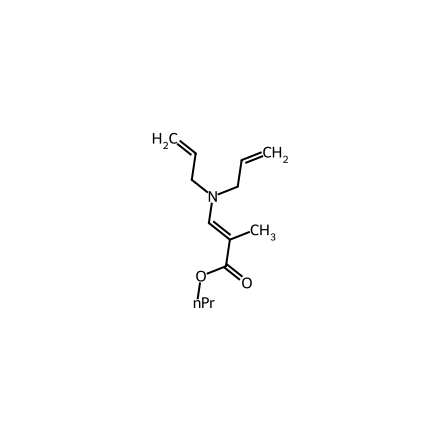 C=CCN(C=C(C)C(=O)OCCC)CC=C